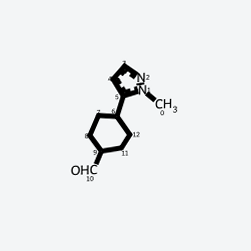 Cn1nccc1C1CCC(C=O)CC1